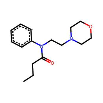 CCCC(=O)N(CCN1CCOCC1)c1[c]cccc1